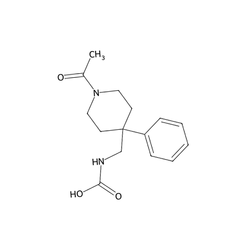 CC(=O)N1CCC(CNC(=O)O)(c2ccccc2)CC1